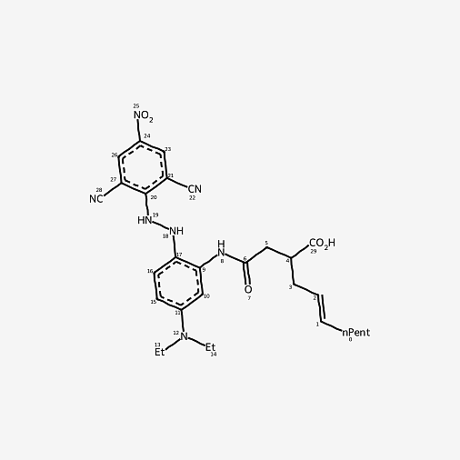 CCCCC/C=C/CC(CC(=O)Nc1cc(N(CC)CC)ccc1NNc1c(C#N)cc([N+](=O)[O-])cc1C#N)C(=O)O